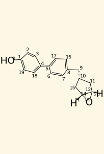 Oc1ccc(-c2ccc(C[C@@H]3C[C@@H]4O[C@@H]4C3)cc2)cc1